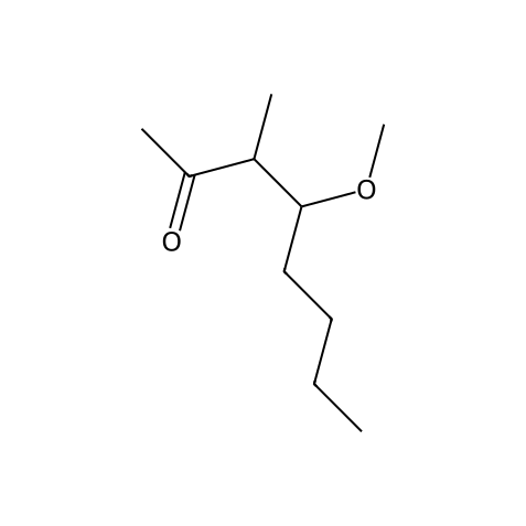 CCCCC(OC)C(C)C(C)=O